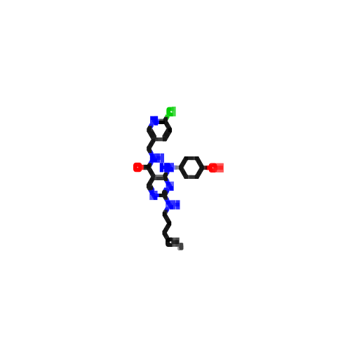 CCCCNc1ncc(C(=O)NCc2ccc(Cl)nc2)c(N[C@H]2CC[C@H](O)CC2)n1